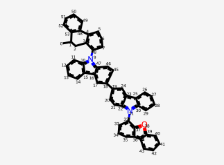 CC1Cc2c(cccc2-n2c3ccccc3c3cc(-c4ccc5c(c4)c4ccccc4n5-c4cccc5c4oc4ccccc45)ccc32)-c2ccccc21